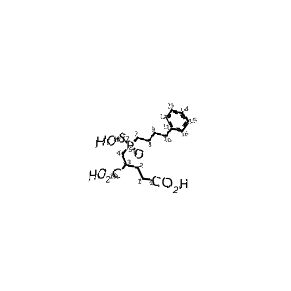 O=C(O)CCC(CP(=O)(CCCCc1ccccc1)SO)C(=O)O